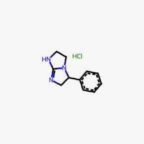 Cl.c1ccc(C2CN=C3NCCN32)cc1